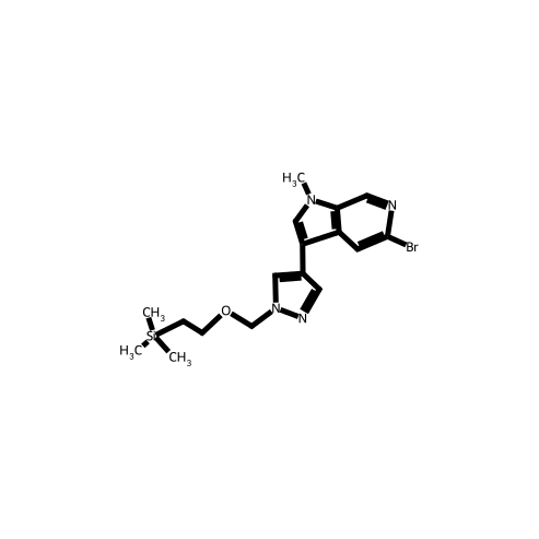 Cn1cc(-c2cnn(COCC[Si](C)(C)C)c2)c2cc(Br)ncc21